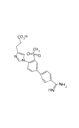 CS(=O)(=O)c1cc(-c2ccc(C(=N)N)cc2)ccc1-n1cnc(CCC(=O)O)c1